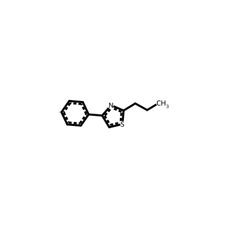 CCCc1nc(-c2cc[c]cc2)cs1